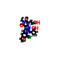 CCn1c(=O)c2c(nc(N[C@@H]3CCC[C@H]3O)n2Cc2cc(Br)c3c(c2)CCO3)n(CCO)c1=O